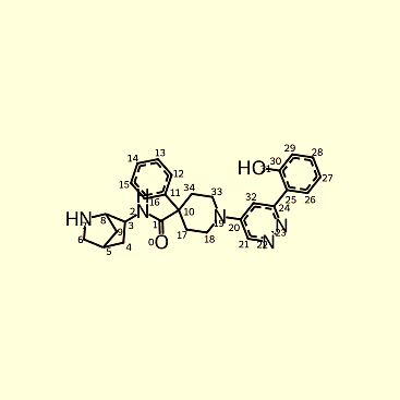 O=C(NC1CC2CNC1C2)C1(c2ccccc2)CCN(c2cnnc(-c3ccccc3O)c2)CC1